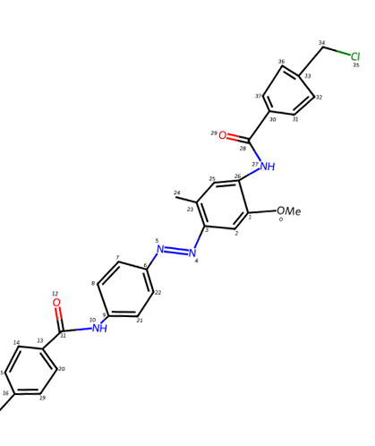 COc1cc(N=Nc2ccc(NC(=O)c3ccc(CCl)cc3)cc2)c(C)cc1NC(=O)c1ccc(CCl)cc1